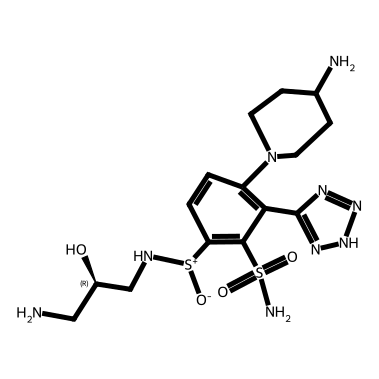 NC[C@@H](O)CN[S+]([O-])c1ccc(N2CCC(N)CC2)c(-c2nn[nH]n2)c1S(N)(=O)=O